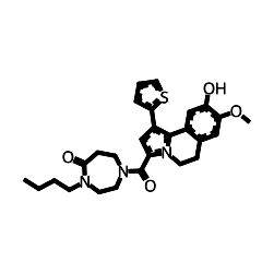 CCCCN1CCN(C(=O)c2cc(-c3cccs3)c3n2CCc2cc(OC)c(O)cc2-3)CCC1=O